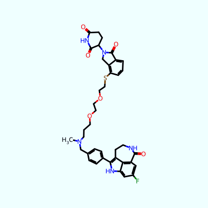 CN(CCCOCCOCCSc1cccc2c1CN(C1CCC(=O)NC1=O)C2=O)Cc1ccc(-c2[nH]c3cc(F)cc4c3c2CCNC4=O)cc1